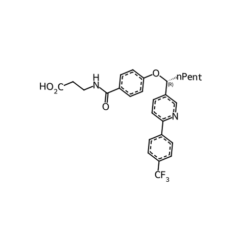 CCCCC[C@@H](Oc1ccc(C(=O)NCCC(=O)O)cc1)c1ccc(-c2ccc(C(F)(F)F)cc2)nc1